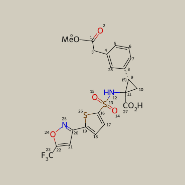 COC(=O)Cc1cccc([C@@H]2CC2(NS(=O)(=O)c2ccc(-c3cc(C(F)(F)F)on3)s2)C(=O)O)c1